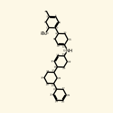 CCC(C)C1CC(C)=CC=C1C1CC=C(NC2C=CC(C3CCCC(C4C=CC=CC4)C3)CC2)CC1